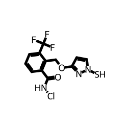 O=C(NCl)c1cccc(C(F)(F)F)c1COc1ccn(S)n1